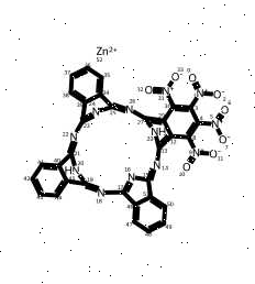 O=[N+]([O-])c1c([N+](=O)[O-])c([N+](=O)[O-])c2c3nc4nc(nc5[nH]c(nc6nc(nc([nH]3)c2c1[N+](=O)[O-])-c1ccccc1-6)c1ccccc51)-c1ccccc1-4.[Zn+2]